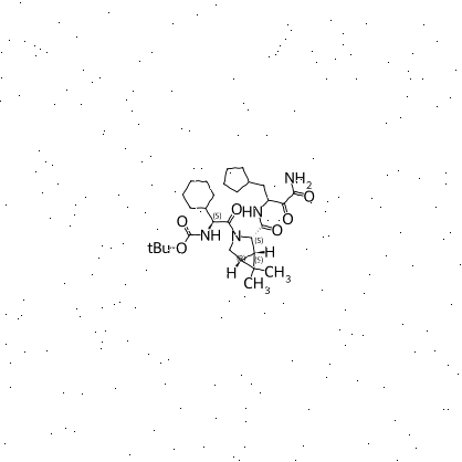 CC(C)(C)OC(=O)N[C@H](C(=O)N1C[C@@H]2[C@H]([C@H]1C(=O)NC(CC1CCCC1)C(=O)C(N)=O)C2(C)C)C1CCCCC1